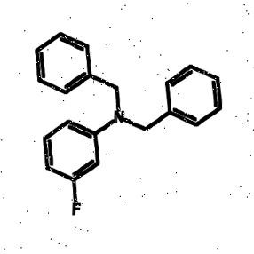 Fc1cccc(N(Cc2ccccc2)Cc2ccccc2)c1